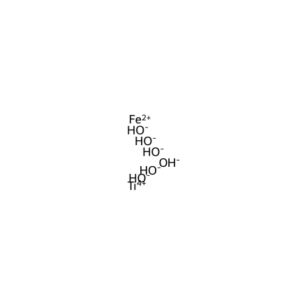 [Fe+2].[OH-].[OH-].[OH-].[OH-].[OH-].[OH-].[Ti+4]